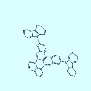 C1=Cc2c(c3ccccc3n2-c2ccc3ccc(-c4cccc5cccc(-c6ccc7ccc(-n8c9c(c%10ccccc%108)CCC=C9)cc7c6)c45)cc3c2)CC1